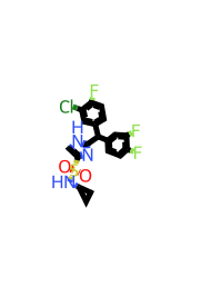 O=S(=O)(NC1CC1)c1c[nH]c(C(c2ccc(F)c(F)c2)c2ccc(F)c(Cl)c2)n1